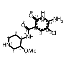 COC1CNCCC1NC(=O)c1cc(Cl)c(N)[nH]c1=O